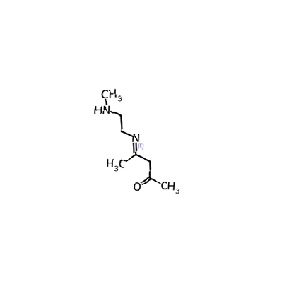 CNCC/N=C(\C)CC(C)=O